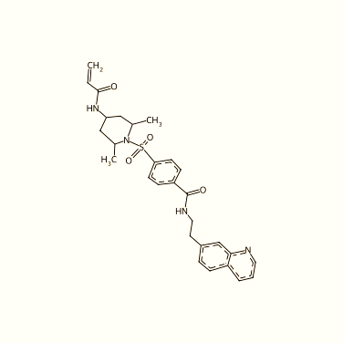 C=CC(=O)NC1CC(C)N(S(=O)(=O)c2ccc(C(=O)NCCc3ccc4cccnc4c3)cc2)C(C)C1